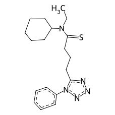 CCN(C(=S)CCCc1nnnn1-c1ccccc1)C1CCCCC1